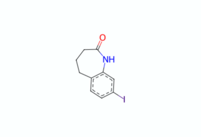 O=C1CCCc2ccc(I)cc2N1